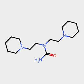 NC(=O)N(CCN1CCCCC1)CCN1CCCCC1